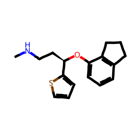 CNCC[C@@H](Oc1cccc2c1CCC2)c1cccs1